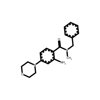 CN(Cc1ccccc1)C(=O)c1ccc(N2CCOCC2)cc1N